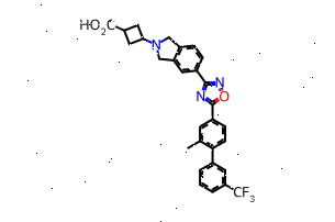 Cc1cc(-c2nc(-c3ccc4c(c3)CN(C3CC(C(=O)O)C3)C4)no2)ccc1-c1cccc(C(F)(F)F)c1